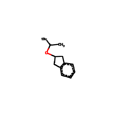 CC(OC1Cc2ccccc2C1)C(C)(C)C